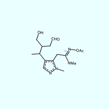 CN/C(Cc1c(C(C)C(CO)CC=O)cnn1C)=N\OC(C)=O